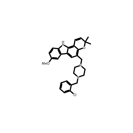 COc1ccc2[nH]c3c4c(c(CN5CCN(Cc6ccccc6Cl)CC5)cc3c2c1)OC(C)(C)C=C4